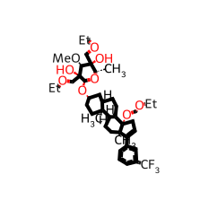 CCOCO[C@]12CC=C(c3cccc(C(F)(F)F)c3)[C@@]1(C)CC[C@H]1[C@H]2CC[C@@H]2C[C@@H](O[C@@H]3O[C@@H](C)[C@@](O)(COCC)[C@@H](OC)[C@@]3(O)COCC)CC[C@@]21C